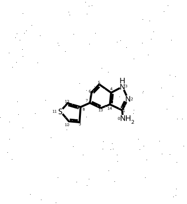 Nc1n[nH]c2ccc(-c3ccsc3)cc12